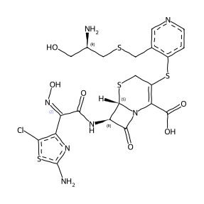 Nc1nc(/C(=N/O)C(=O)N[C@@H]2C(=O)N3C(C(=O)O)=C(Sc4ccncc4CSC[C@H](N)CO)CS[C@@H]23)c(Cl)s1